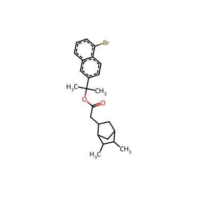 CC1C2CC(CC(=O)OC(C)(C)c3ccc4c(Br)cccc4c3)C(C2)C1C